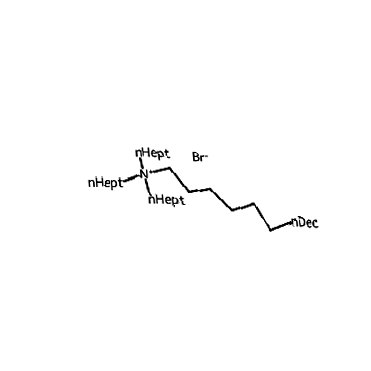 CCCCCCCCCCCCCCCC[N+](CCCCCCC)(CCCCCCC)CCCCCCC.[Br-]